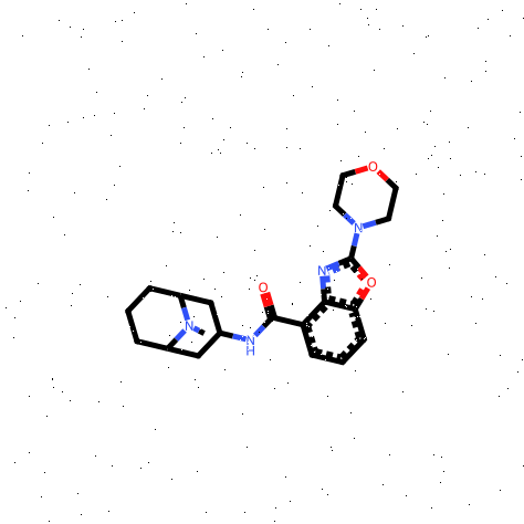 CN1C2CCCC1CC(NC(=O)c1cccc3oc(N4CCOCC4)nc13)C2